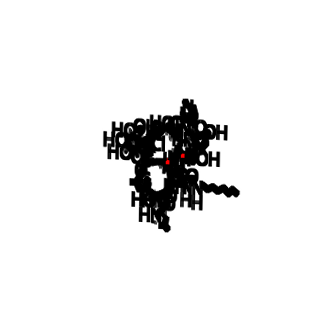 CCCCCCCCNC(=O)NC(=O)C[C@@H]1NC(=O)[C@H](NC(=O)[C@@H](CC(C)C)NC)[C@H](O)c2ccc(c(C)c2)Oc2cc3cc(c2O[C@@H]2O[C@H](CO)[C@@H](O)[C@H](O)[C@H]2O)Oc2ccc(cc2Cl)[C@@H](O)[C@@H]2NC(=O)[C@H](NC(=O)[C@@H]3NC1=O)c1ccc(O)c(c1)-c1c(C)cc(O)cc1[C@@H](C(=O)N1CCN(C)CC1)NC2=O